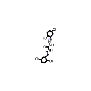 O=C(N/N=C/c1cc(Cl)ccc1O)N/N=C/c1cc(Cl)ccc1O